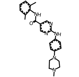 Cc1cccc(C)c1NC(=O)c1cnc(Nc2ccc(N3CCN(C)CC3)cc2)nc1